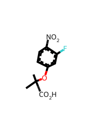 CC(C)(Oc1ccc([N+](=O)[O-])c(F)c1)C(=O)O